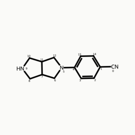 N#Cc1ccc(N2CC3CNCC3C2)cc1